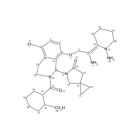 N/C(COc1ccc(Cl)c2c1C(N1CC3(CC3)CC1=O)N(C(=O)C1CCCCC1C(=O)O)CC2)=C1/CCCCN1N